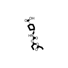 CCC(=O)OC(CC)OC(=O)NC[C@H]1CC[C@H](C(=O)O)CC1